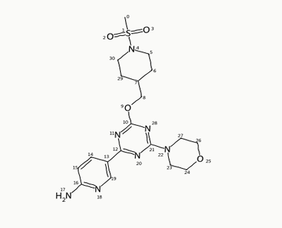 CS(=O)(=O)N1CCC(COc2nc(-c3ccc(N)nc3)nc(N3CCOCC3)n2)CC1